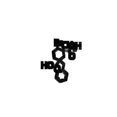 CC1(C(=O)O)CC(Cc2ccccc2)(C(=O)O)C=CC1Br